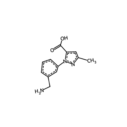 Cc1cc(C(=O)O)n(-c2cccc(CN)c2)n1